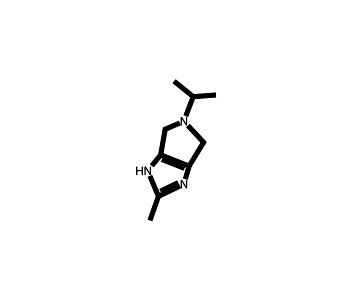 Cc1nc2c([nH]1)CN(C(C)C)C2